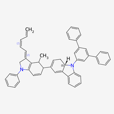 C=C/C=C\C=C1/CN(c2ccccc2)C2=C1C(C)C(C1=CC[C@H]3C(=C1)c1ccccc1N3c1cc(-c3ccccc3)cc(-c3ccccc3)c1)C=C2